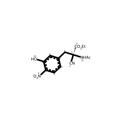 CCOC(=O)[C@](C#N)(Cc1ccc([N+](=O)[O-])c(O)c1)NC(C)=O